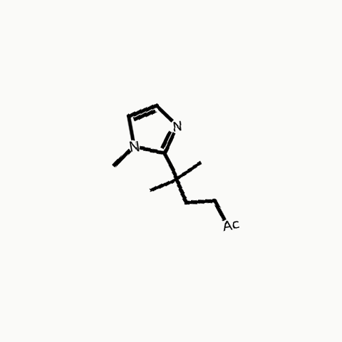 CC(=O)CCC(C)(C)c1nccn1C